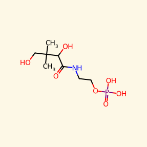 CC(C)(CO)C(O)C(=O)NCCOP(=O)(O)O